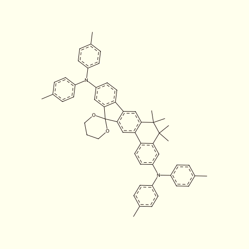 Cc1ccc(N(c2ccc(C)cc2)c2ccc3c(c2)C2(OCCCO2)c2cc4c(cc2-3)C(C)(C)C(C)(C)c2cc(N(c3ccc(C)cc3)c3ccc(C)cc3)ccc2-4)cc1